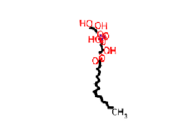 CCCCCC/C=C\CCCCCCCC(=O)OCC(O)COP(=O)(O)OCC(O)CO